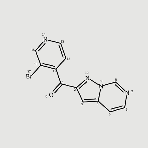 O=C(c1cc2ccncn2n1)c1ccncc1Br